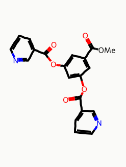 COC(=O)c1cc(OC(=O)c2cccnc2)cc(OC(=O)c2cccnc2)c1